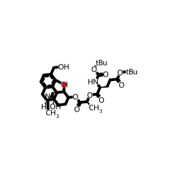 C[C@H](OC(=O)[C@H](CCC(=O)OC(C)(C)C)NC(=O)OC(C)(C)C)C(=O)OC1CC[C@@]2(O)[C@H]3Cc4ccc(CO)c5c4[C@@]2(CCN3C)[C@H]1O5